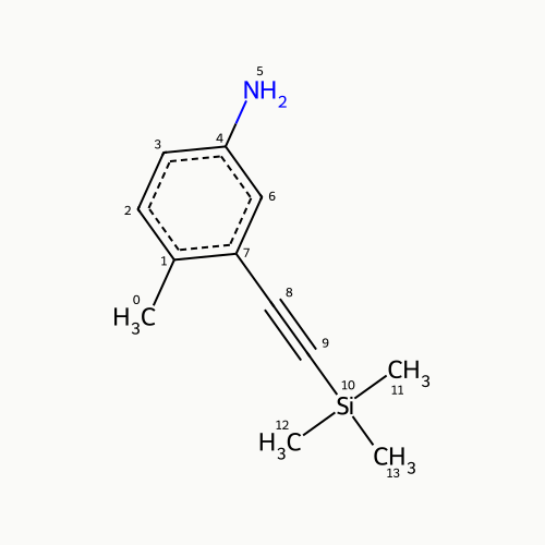 Cc1ccc(N)cc1C#C[Si](C)(C)C